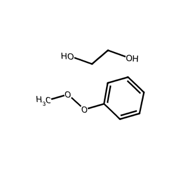 COOc1ccccc1.OCCO